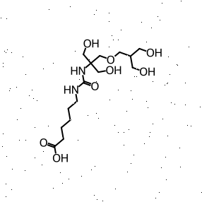 O=C(O)CCCCCNC(=O)NC(CO)(CO)COCC(CO)CO